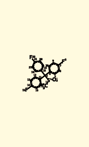 C[S+]([O-])C(c1ccc(F)cc1)(c1ccc(F)cc1)c1ccc(F)cc1